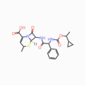 CC1C=C(C(=O)O)N2C(=O)C(NC(=O)C(NC(=O)OC(C)C3CC3)c3ccccc3)[C@H]2S1